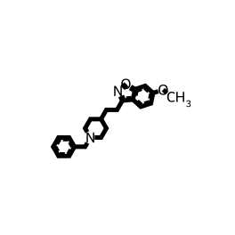 COc1ccc2c(CCC3CCN(Cc4ccccc4)CC3)noc2c1